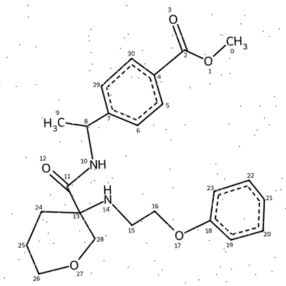 COC(=O)c1ccc(C(C)NC(=O)C2(NCCOc3ccccc3)CCCOC2)cc1